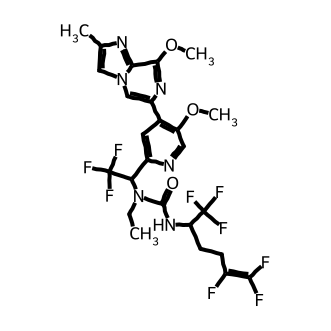 CCN(C(=O)NC(CCC(F)=C(F)F)C(F)(F)F)C(c1cc(-c2cn3cc(C)nc3c(OC)n2)c(OC)cn1)C(F)(F)F